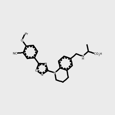 CC(C)Oc1ccc(-c2nc(N3CCCc4cc(CNC(C)C(=O)O)ccc43)no2)cc1C#N